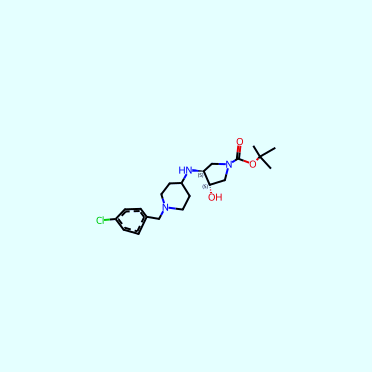 CC(C)(C)OC(=O)N1C[C@H](NC2CCN(Cc3ccc(Cl)cc3)CC2)[C@@H](O)C1